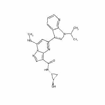 CNc1cc(-c2cn(C(C)C)c3ncccc23)nc2c(C(=O)N[C@@H]3C[C@H]3O)cnn12